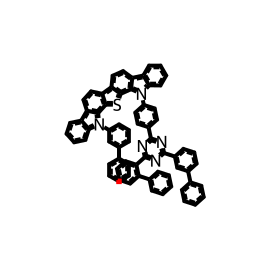 c1ccc(-c2cccc(-c3nc(-c4ccc(-n5c6ccccc6c6ccc7c8ccc9c%10ccccc%10n(-c%10cccc(-c%11ccccc%11)c%10)c9c8sc7c65)cc4)nc(-c4ccccc4-c4ccccc4)n3)c2)cc1